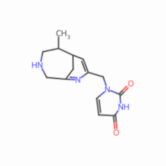 CC1CNCC2=NC(Cn3ccc(=O)[nH]c3=O)=CC1C2